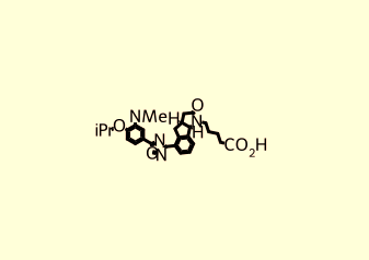 CNc1cc(-c2nc(-c3cccc4c3C[C@H]3CC(=O)N(CCCCC(=O)O)[C@@H]43)no2)ccc1OC(C)C